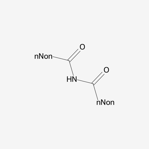 CCCCCCCCCC(=O)NC(=O)CCCCCCCCC